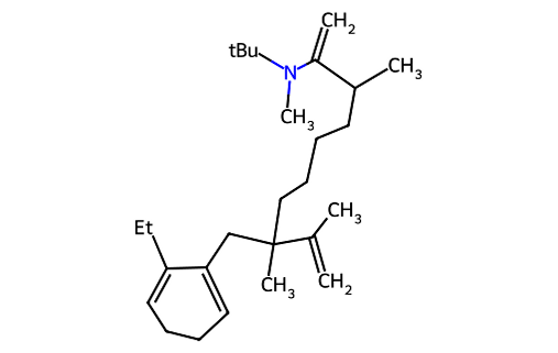 C=C(C(C)CCCCC(C)(CC1=CCCC=C1CC)C(=C)C)N(C)C(C)(C)C